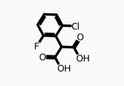 O=C(O)C(C(=O)O)c1c(F)cccc1Cl